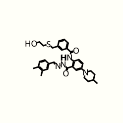 Cc1ccc(C=NNC(=O)c2cc(N3CCC(C)CC3)ccc2NC(=O)c2cccc(CSCCO)c2)cc1C